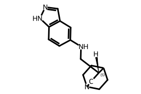 c1cc2[nH]ncc2cc1NC[C@H]1CN2CCC1CC2